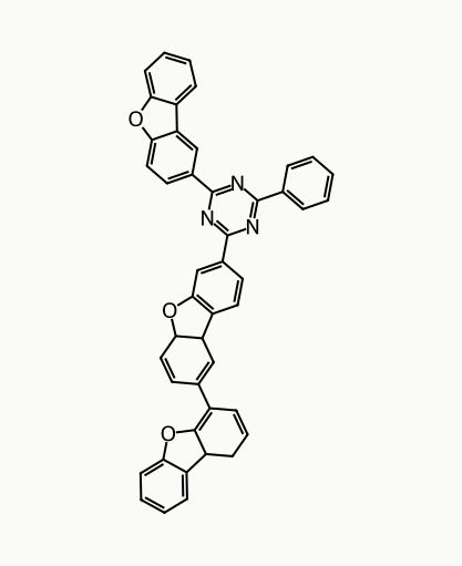 C1=CC(C2=CC3c4ccc(-c5nc(-c6ccccc6)nc(-c6ccc7oc8ccccc8c7c6)n5)cc4OC3C=C2)=C2Oc3ccccc3C2C1